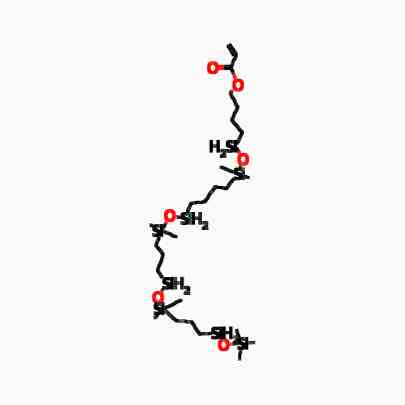 C=CC(=O)OCCCC[SiH2]O[Si](C)(C)CCCC[SiH2]O[Si](C)(C)CCC[SiH2]O[Si](C)(C)CCC[SiH2]O[Si](C)(C)C